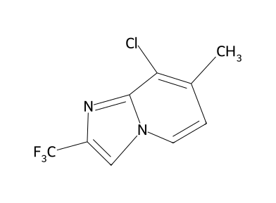 Cc1ccn2cc(C(F)(F)F)nc2c1Cl